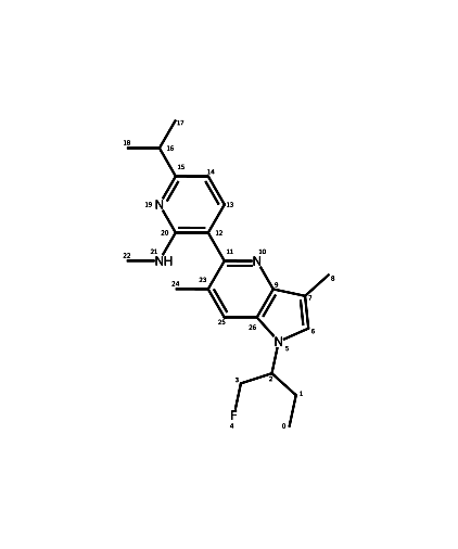 CCC(CF)n1cc(C)c2nc(-c3ccc(C(C)C)nc3NC)c(C)cc21